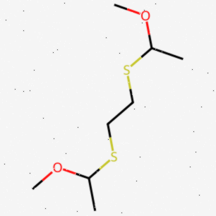 COC(C)SCCSC(C)OC